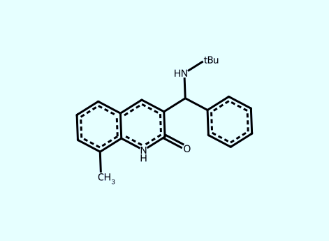 Cc1cccc2cc(C(NC(C)(C)C)c3ccccc3)c(=O)[nH]c12